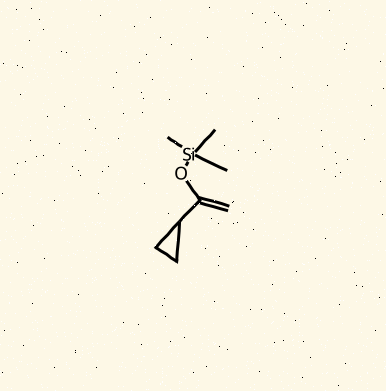 C=C(O[Si](C)(C)C)C1CC1